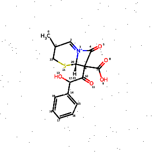 CC1C=[N+]2C(=O)C(C(=O)O)(C(=O)C(O)c3ccccc3)[C@@H]2SC1